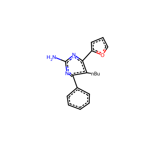 CCCCc1c(-c2ccccc2)nc(N)nc1-c1ccco1